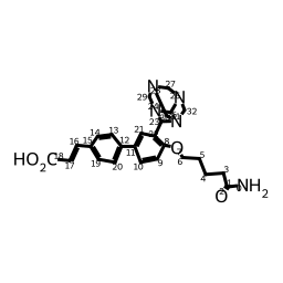 NC(=O)CCCCOc1ccc(-c2ccc(/C=C/C(=O)O)cc2)cc1C1N2CN3CN(C2)CN1C3